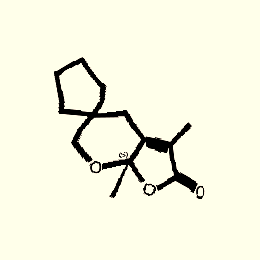 CC1=C2CC3(CCCC3)CO[C@@]2(C)OC1=O